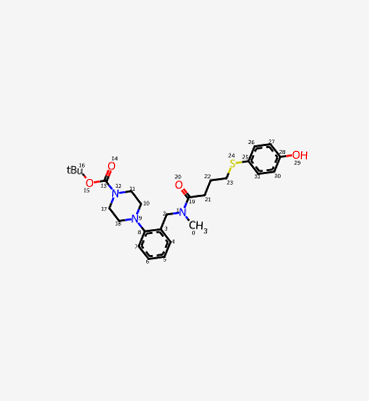 CN(Cc1ccccc1N1CCN(C(=O)OC(C)(C)C)CC1)C(=O)CCCSc1ccc(O)cc1